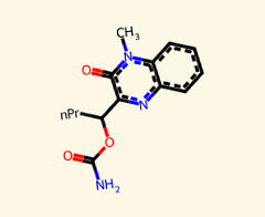 CCCC(OC(N)=O)c1nc2ccccc2n(C)c1=O